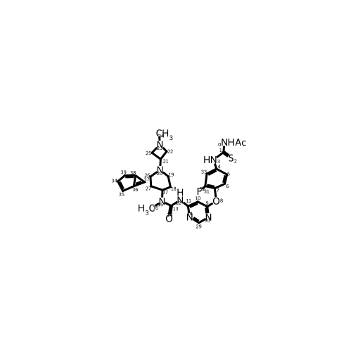 CC(=O)NC(=S)Nc1ccc(Oc2cc(NC(=O)N(C)C3CCN(C4CN(C)C4)CC3)ncn2)c(F)c1.c1cc2cc-2c1